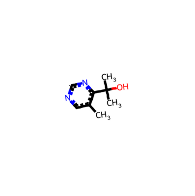 Cc1cn[c]nc1C(C)(C)O